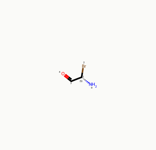 N[C@@H](Br)C=O